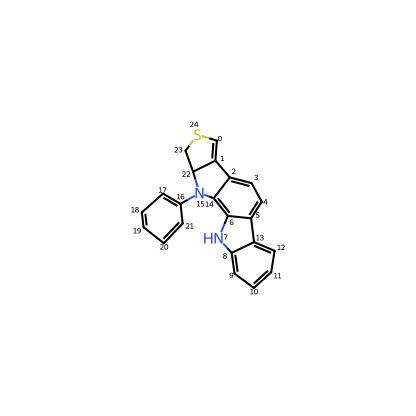 C1=C2c3ccc4c([nH]c5ccccc54)c3N(c3ccccc3)C2CS1